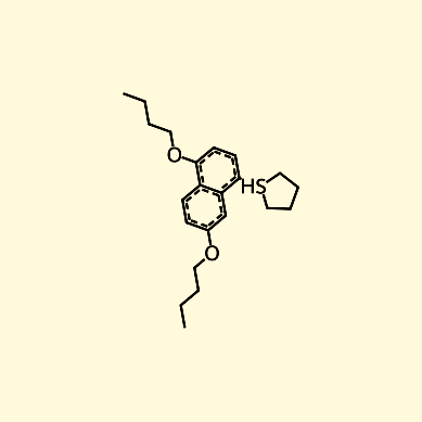 CCCCOc1ccc2c(OCCCC)ccc([SH]3CCCC3)c2c1